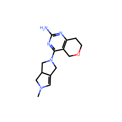 CN1C=C2CN(c3nc(N)nc4c3COCC4)CC2C1